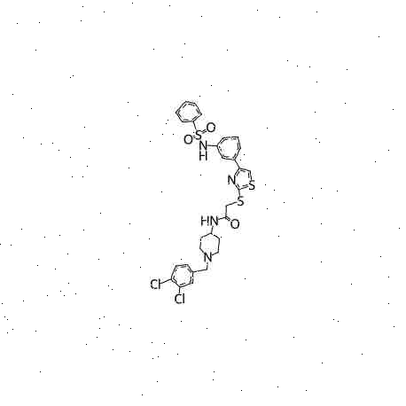 O=C(CSc1nc(-c2cccc(NS(=O)(=O)c3ccccc3)c2)cs1)NC1CCN(Cc2ccc(Cl)c(Cl)c2)CC1